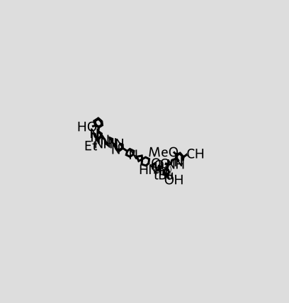 C#Cc1cnc(CNC(=O)[C@@H]2C[C@@H](O)CN2C(=O)[C@@H](NC(=O)[C@H]2CCC3(CC2)C[C@H](N2CCC(c4cnc(N5CCN(c6cc(-c7ccccc7O)nnc6NCC)CC5)nc4)CC2)C3)C(C)(C)C)c(OC)c1